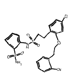 N#Cc1ccccc1CCOc1cc(Cl)ccc1CCS(=O)(=O)Nc1ccccc1S(N)(=O)=O